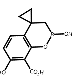 COc1ccc2c(c1C(=O)O)OB(O)CC21CC1